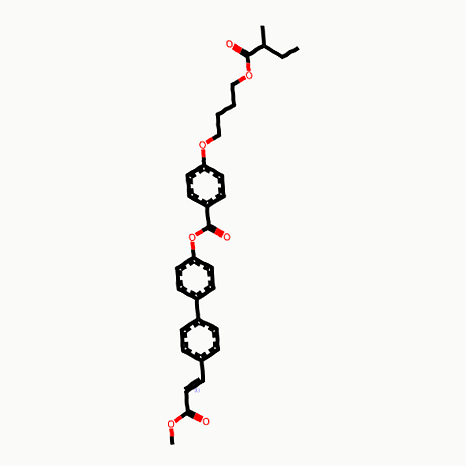 CCC(C)C(=O)OCCCCOc1ccc(C(=O)Oc2ccc(-c3ccc(/C=C/C(=O)OC)cc3)cc2)cc1